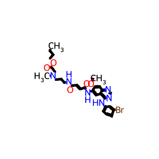 CCCCOC(=O)CN(C)CCCNC(=O)C=CC(=O)Nc1cc2c(Nc3cccc(Br)c3)ncnc2cc1OC